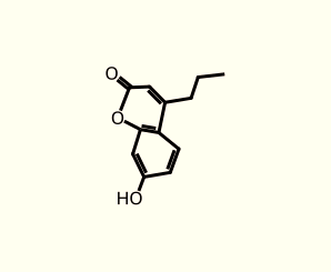 CCCc1cc(=O)oc2cc(O)ccc12